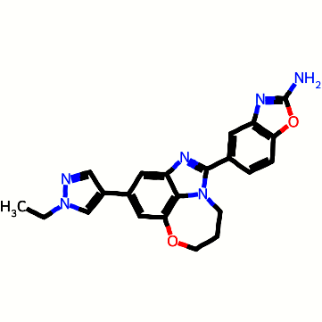 CCn1cc(-c2cc3c4c(c2)nc(-c2ccc5oc(N)nc5c2)n4CCCO3)cn1